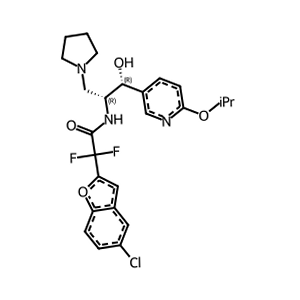 CC(C)Oc1ccc([C@@H](O)[C@@H](CN2CCCC2)NC(=O)C(F)(F)c2cc3cc(Cl)ccc3o2)cn1